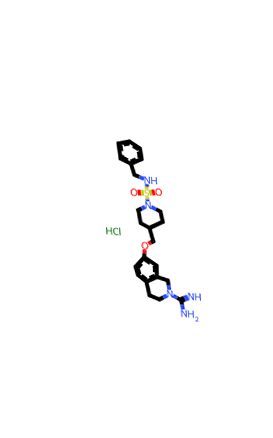 Cl.N=C(N)N1CCc2ccc(OCC3CCN(S(=O)(=O)NCc4ccccc4)CC3)cc2C1